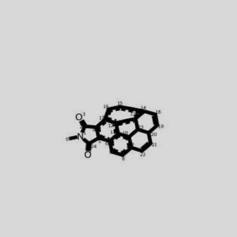 CN1C(=O)c2c(c3ccc4c5c3c3c6c(ccc23)C=CC(C=C4)C65)C1=O